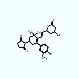 Cc1cc(C2=C(C=CC3CC(O)CC(=O)O3)C(C)(C)CC(N3C(=O)CCC3=O)C2)ccc1F